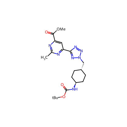 COC(=O)c1cc(-c2nnn(C[C@H]3CC[C@H](NC(=O)OC(C)(C)C)CC3)n2)nc(C)n1